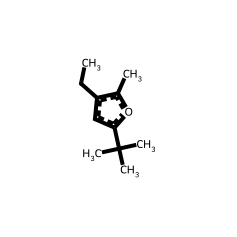 CCc1cc(C(C)(C)C)oc1C